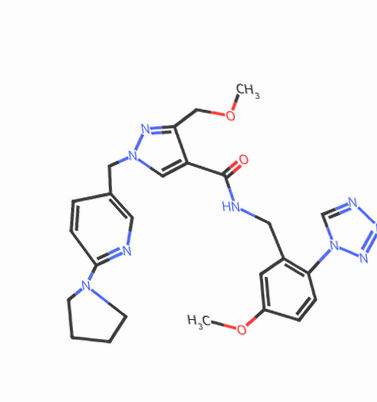 COCc1nn(Cc2ccc(N3CCCC3)nc2)cc1C(=O)NCc1cc(OC)ccc1-n1cnnn1